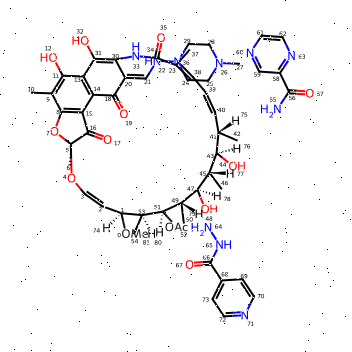 CO[C@H]1/C=C\O[C@@]2(C)Oc3c(C)c(O)c4c(c3C2=O)C(=O)/C(=C/NN2CCN(C)CC2)C(=C4O)NC(=O)/C(C)=C\C=C/[C@H](C)[C@@H](O)[C@H](C)[C@@H](O)[C@H](C)[C@@H](OC(C)=O)[C@H]1C.NC(=O)c1cnccn1.NNC(=O)c1ccncc1